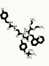 CCOC(OCC)[C@H](C)N(Cc1cccc2cccnc12)C(=O)[C@H](Cc1ccc(OC(C)(C)C)cc1)NC(=O)CONC(=O)NCc1ccc(Cl)cc1